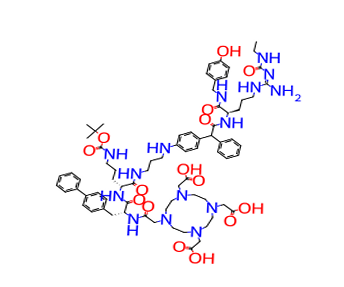 CCNC(=O)/N=C(/N)NCCC[C@@H](NC(=O)C(c1ccccc1)c1ccc(NCCCNC(=O)[C@@H](CCCNC(=O)OC(C)(C)C)NC(=O)[C@@H](Cc2ccc(-c3ccccc3)cc2)NC(=O)CN2CCN(CC(=O)O)CCN(CC(=O)O)CCN(CC(=O)O)CC2)cc1)C(=O)NCc1ccc(O)cc1